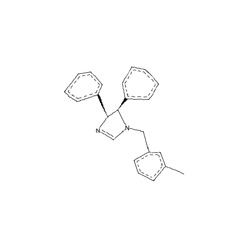 Cc1cccc(CN2C=N[C@@H](c3ccccc3)[C@H]2c2ccccc2)c1